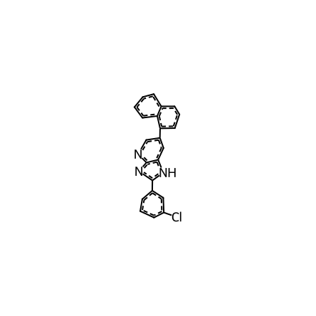 Clc1cccc(-c2nc3ncc(-c4cccc5ccccc45)cc3[nH]2)c1